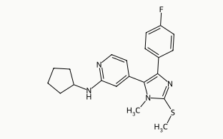 CSc1nc(-c2ccc(F)cc2)c(-c2ccnc(NC3CCCC3)c2)n1C